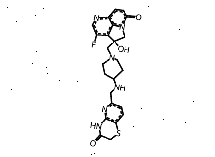 O=C1CSc2ccc(CNC3CCN(C[C@@]4(O)Cn5c(=O)ccc6ncc(F)c4c65)CC3)nc2N1